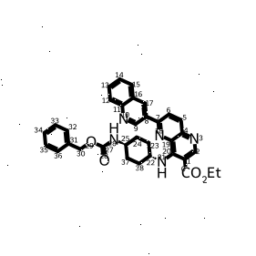 CCOC(=O)c1cnc2ccc(-c3cnc4ccccc4c3)nc2c1N[C@H]1CC[C@H](NC(=O)OCc2ccccc2)CC1